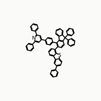 c1ccc(-c2ccc3sc4c(-c5ccc6c(c5-c5ccc(-c7cc(-c8ccccc8)nc(-c8ccccc8)c7)cc5)-c5ccccc5C6(c5ccccc5)c5ccccc5)cccc4c3c2)cc1